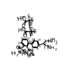 NCC(CN)c1ccc(-c2cccc(S(N)(=O)=O)c2-c2nnn[nH]2)cc1.O=C(O)C(F)(F)F.O=C(O)C(F)(F)F